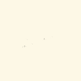 CCNCCCN(CCCN)CCCCCCCNCCCNCC1CCCCCC1